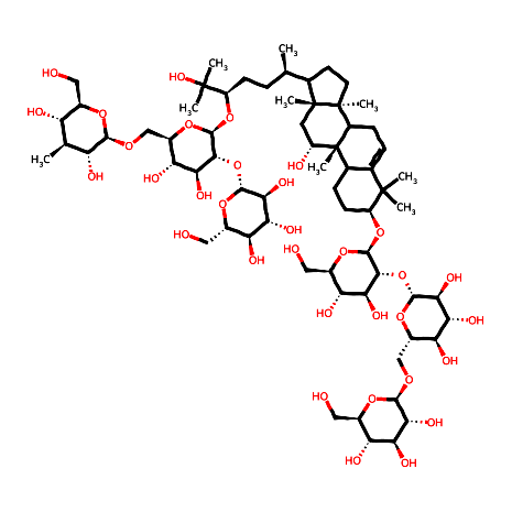 C[C@@H]1[C@@H](O)[C@H](OC[C@H]2O[C@@H](O[C@H](CC[C@@H](C)C3CC[C@@]4(C)C5CC=C6C(CC[C@H](O[C@@H]7O[C@H](CO)[C@@H](O)[C@H](O)[C@H]7O[C@H]7O[C@@H](CO[C@@H]8O[C@H](CO)[C@@H](O)[C@H](O)[C@H]8O)[C@H](O)[C@@H](O)[C@@H]7O)C6(C)C)[C@]5(C)[C@H](O)C[C@]34C)C(C)(C)O)[C@H](O[C@H]3O[C@@H](CO)[C@H](O)[C@@H](O)[C@@H]3O)[C@@H](O)[C@@H]2O)O[C@H](CO)[C@H]1O